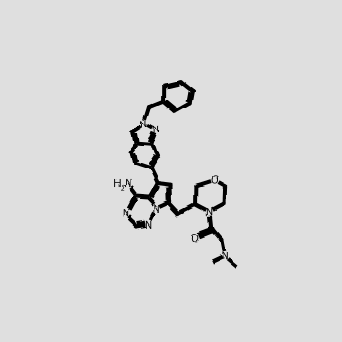 CN(C)CC(=O)N1CCOCC1Cc1cc(-c2ccc3cn(Cc4ccccc4)nc3c2)c2c(N)ncnn12